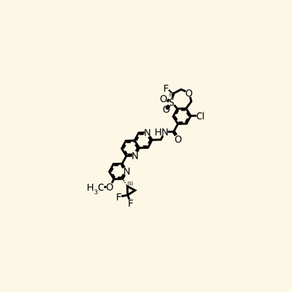 COc1ccc(-c2ccc3cnc(CNC(=O)c4cc(Cl)c5c(c4)S(=O)(=O)[C@@H](F)COC5)cc3n2)nc1[C@@H]1CC1(F)F